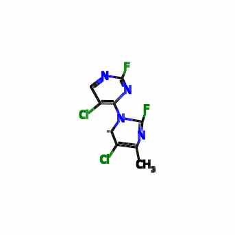 CC1=C(Cl)[CH]N(c2nc(F)ncc2Cl)C(F)=N1